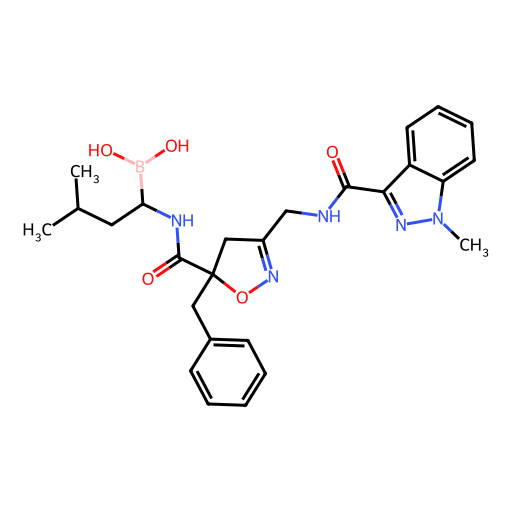 CC(C)CC(NC(=O)C1(Cc2ccccc2)CC(CNC(=O)c2nn(C)c3ccccc23)=NO1)B(O)O